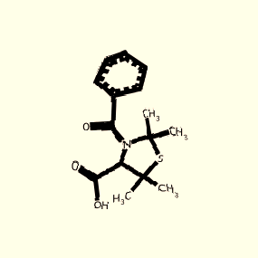 CC1(C)SC(C)(C)N(C(=O)c2ccccc2)C1C(=O)O